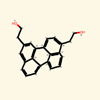 OCCc1cc2cccc3c4cccc5c(CCO)ccc(c(c1)c23)c54